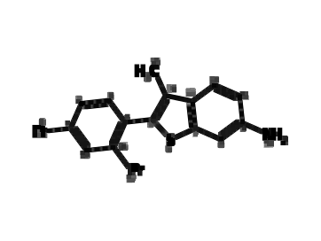 CCc1ccc(-c2sc3cc(N)ccc3c2C)c(C(C)C)c1